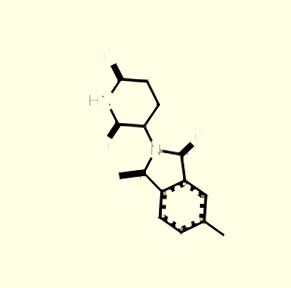 C=C1c2ccc(C)cc2C(=O)N1C1CCC(=O)NC1=O